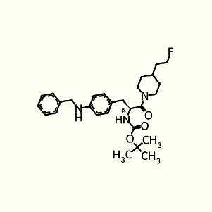 CC(C)(C)OC(=O)N[C@@H](Cc1ccc(NCc2ccccc2)cc1)C(=O)N1CCC(CCF)CC1